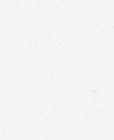 C/C(N)=C(\C=C/C(C)F)C(=O)NCc1cccc(Oc2ccc(F)cc2)c1